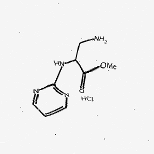 COC(=O)C(CN)Nc1ncccn1.Cl